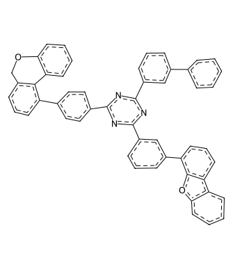 c1ccc(-c2cccc(-c3nc(-c4ccc(-c5cccc6c5-c5ccccc5OC6)cc4)nc(-c4cccc(-c5cccc6c5oc5ccccc56)c4)n3)c2)cc1